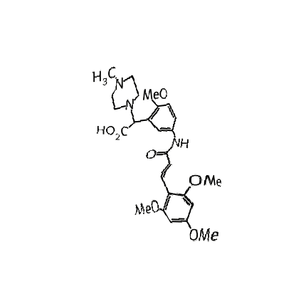 COc1cc(OC)c(C=CC(=O)Nc2ccc(OC)c(C(C(=O)O)N3CCN(C)CC3)c2)c(OC)c1